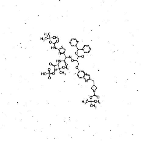 CC(C)(C)OC(=O)Nc1nc(/C(=N/OC(COc2ccc3nc(CC4CN(C(=O)OC(C)(C)C)C4)cn3c2)C(=O)OC(c2ccccc2)c2ccccc2)C(=O)N[C@@H]2C(=O)N(OS(=O)(=O)O)C2(C)C)cs1